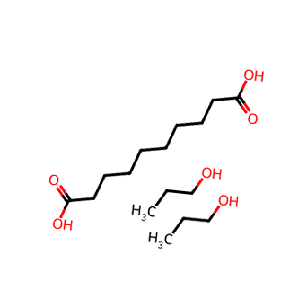 CCCO.CCCO.O=C(O)CCCCCCCCC(=O)O